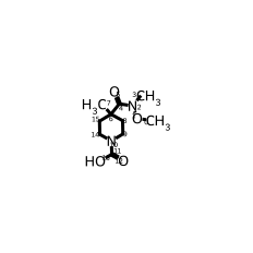 CON(C)C(=O)C1(C)CCN(C(=O)O)CC1